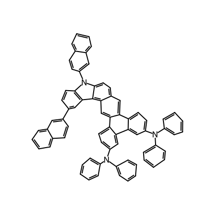 c1ccc(N(c2ccccc2)c2ccc3c(c2)c2cc(N(c4ccccc4)c4ccccc4)ccc2c2cc4c(ccc5c4c4cc(-c6ccc7ccccc7c6)ccc4n5-c4ccc5ccccc5c4)cc32)cc1